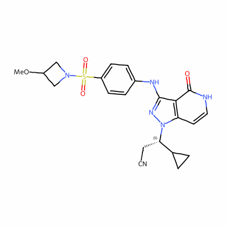 COC1CN(S(=O)(=O)c2ccc(Nc3nn([C@@H](CC#N)C4CC4)c4cc[nH]c(=O)c34)cc2)C1